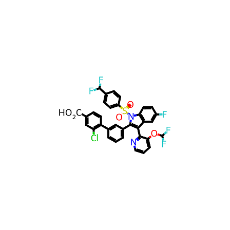 O=C(O)c1ccc(-c2cccc(-c3c(-c4ncccc4OC(F)F)c4cc(F)ccc4n3S(=O)(=O)c3ccc(C(F)F)cc3)c2)c(Cl)c1